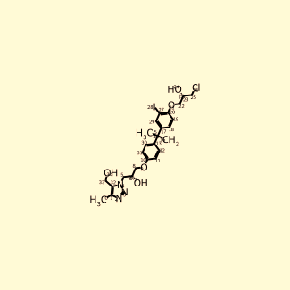 Cc1nnn(C[C@@H](O)COc2ccc(C(C)(C)c3ccc(OC[C@H](O)CCl)c(I)c3)cc2)c1CO